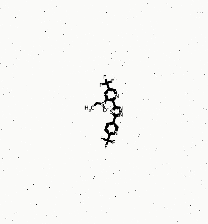 CC[S+]([O-])c1cc(C(F)(F)F)cnc1-c1nnc(-c2ccc(C(F)(F)F)nc2)s1